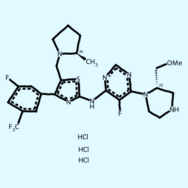 COC[C@@H]1CNCCN1c1ncnc(Nc2nc(-c3cc(F)cc(C(F)(F)F)c3)c(CN3CCC[C@H]3C)s2)c1F.Cl.Cl.Cl